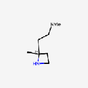 CNCC[C@]1(C)CCN1